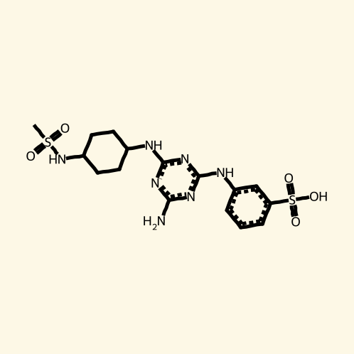 CS(=O)(=O)NC1CCC(Nc2nc(N)nc(Nc3cccc(S(=O)(=O)O)c3)n2)CC1